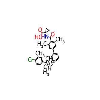 Cc1cc(C(C)(C)[AsH]c2cccc(-c3cc(C)c(C(=O)NC4(C(=O)O)CC4)c(C)c3)c2)ccc1Cl